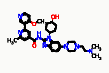 COc1ccncc1-c1cc(C(=O)Nc2nc3ccc(N4CCN(CCN(C)C)CC4)cc3n2[C@H]2CC[C@@H](O)CC2)cc(C)n1